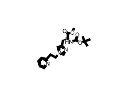 COC(=O)[C@H](Cc1cn(CCc2ccccn2)cn1)NC(=O)OC(C)(C)C